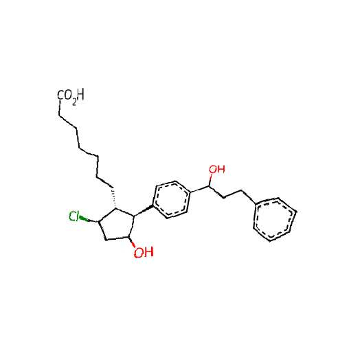 O=C(O)CCCCCC[C@H]1[C@H](Cl)CC(O)[C@@H]1c1ccc(C(O)CCc2ccccc2)cc1